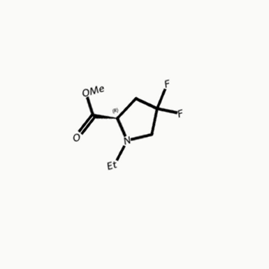 CCN1CC(F)(F)C[C@@H]1C(=O)OC